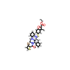 CCOC(=O)c1oc2ccc(SN(CCc3ccccc3)c3ccccc3N3CCN(C(=O)c4sccc4Br)CC3C)cc2c1C